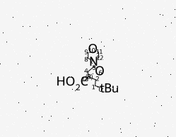 CC(C)(C)CC[C@H](CC(=O)N1CCOCC1)C(=O)O